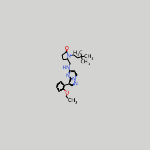 CCOc1ccccc1-c1cnn2ccc(NCC3CCC(=O)N3CCC(C)(C)C)nc12